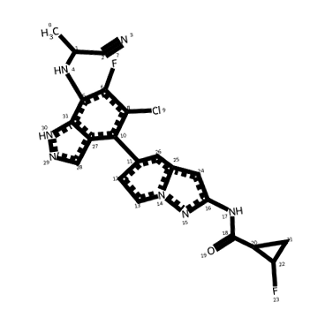 CC(C#N)Nc1c(F)c(Cl)c(-c2ccn3nc(NC(=O)C4CC4F)cc3c2)c2cn[nH]c12